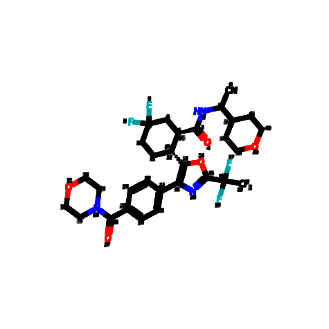 N#CC(NC(=O)[C@@H]1CC(F)(F)CC[C@H]1c1oc(C(F)(F)C(F)(F)F)nc1-c1ccc(C(=O)N2CCOCC2)cc1)C1CCOCC1